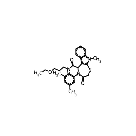 CCOCCCNC(=O)C1c2c(n(C)c3ccccc23)SCC(=O)N1c1cc(C)cc(C)c1